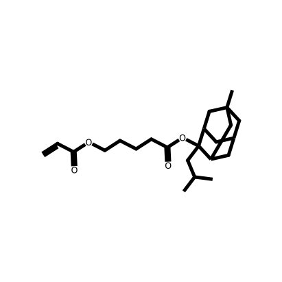 C=CC(=O)OCCCCC(=O)OC1(CC(C)C)C2CC3CC1CC(C)(C3)C2